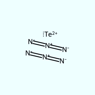 [N-]=[N+]=[N-].[N-]=[N+]=[N-].[Te+2]